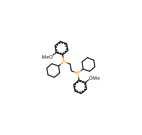 COc1ccccc1P(CCP(c1ccccc1OC)C1CCCCC1)C1CCCCC1